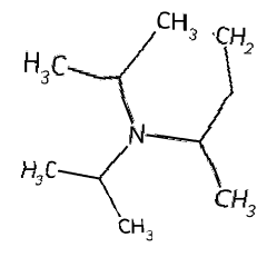 [CH2]CC(C)N(C(C)C)C(C)C